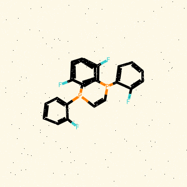 Fc1ccccc1P(/C=C\P(c1ccccc1F)c1ccccc1F)c1ccccc1F